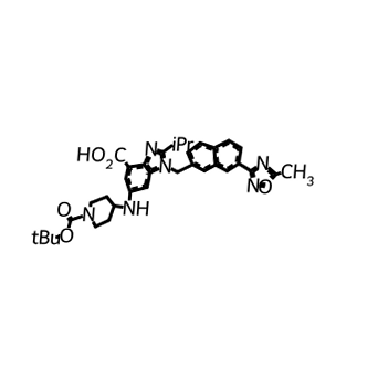 Cc1nc(-c2ccc3ccc(Cn4c(C(C)C)nc5c(C(=O)O)cc(NC6CCN(C(=O)OC(C)(C)C)CC6)cc54)cc3c2)no1